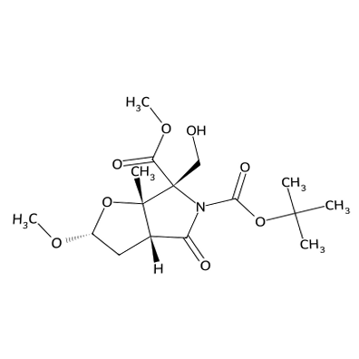 COC(=O)[C@]1(CO)N(C(=O)OC(C)(C)C)C(=O)[C@@H]2C[C@H](OC)O[C@@]21C